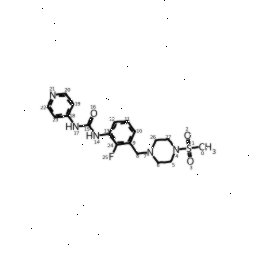 CS(=O)(=O)N1CCN(Cc2cccc(NC(=O)Nc3ccncc3)c2F)CC1